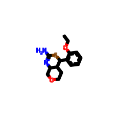 CCOc1ccccc1C1SC(N)=NC2COCCC21